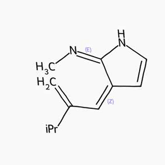 C=C(/C=C1/C=CN/C1=N/C)C(C)C